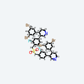 O=S(=O)(Cc1ccc(-c2cnccc2-c2cc(Br)cc(Br)c2)cc1F)Cc1ccc(-c2cnccc2-c2cc(Br)cc(Br)c2)cc1F